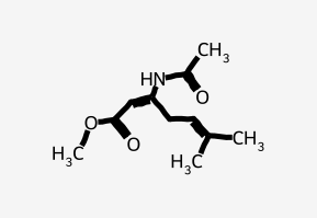 COC(=O)/C=C(\CC=C(C)C)NC(C)=O